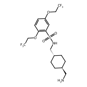 NC[C@H]1CC[C@H](CNS(=O)(=O)c2cc(OCC(F)(F)F)ccc2OCC(F)(F)F)CC1